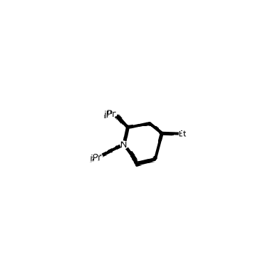 CCC1CCN(C(C)C)C(C(C)C)C1